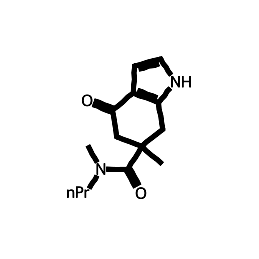 CCCN(C)C(=O)C1(C)CC(=O)c2cc[nH]c2C1